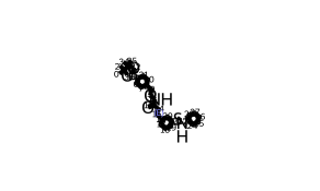 CC1(C)OB(c2ccc(CONC(=O)/C=C/c3cccc(SNc4ccccc4)c3)cc2)OC1(C)C